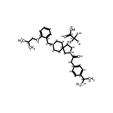 CC(C)COc1ccccc1CN1CCC2(CC1)CCN(C(=O)Cc1ccc(C(C)C)cc1)C2.O=C(O)C(F)(F)F